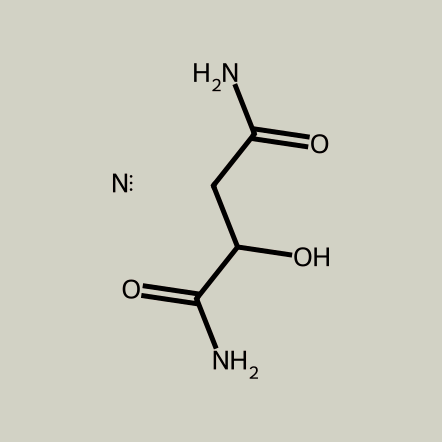 NC(=O)CC(O)C(N)=O.[N]